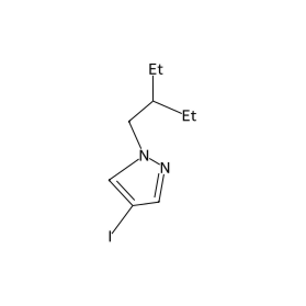 CCC(CC)Cn1cc(I)cn1